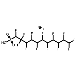 N.O=S(=O)(O)C(F)C(F)(F)C(F)C(F)C(F)C(F)C(F)C(F)C(F)C(F)C(F)F